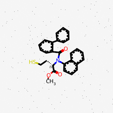 COC(=O)[C@H](CCS)N(C(=O)c1ccccc1-c1ccccc1)c1cccc2ccccc12